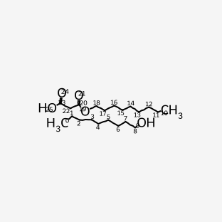 CCCCCCCCCO.CCCCCCCCCOC(=O)CC(=O)O